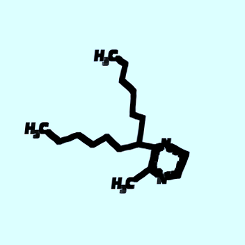 CCCCCCC(CCCCCC)c1nccnc1C